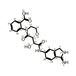 N=C1NCc2cc(NC(=O)[C@H](O)[C@H]3OCCN(c4ccccc4C(=O)O)C3=O)ccc21